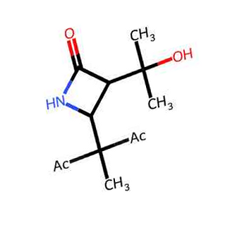 CC(=O)C(C)(C(C)=O)C1NC(=O)C1C(C)(C)O